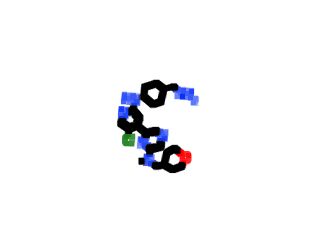 CN(CC1CCOCC1)c1cncc(-c2cc(N[C@H]3CC[C@H](CN)CC3)ncc2Cl)n1